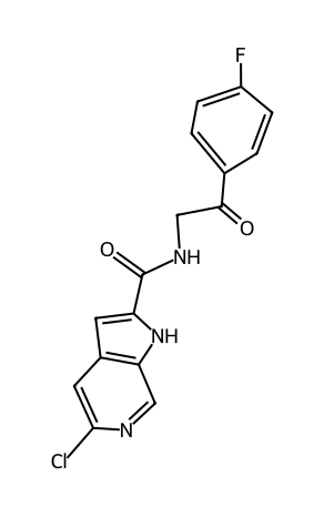 O=C(CNC(=O)c1cc2cc(Cl)ncc2[nH]1)c1ccc(F)cc1